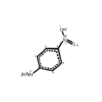 CC(=O)Nc1ccc([AsH](=O)O)cc1